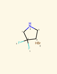 Br.FC1(F)CCNC1